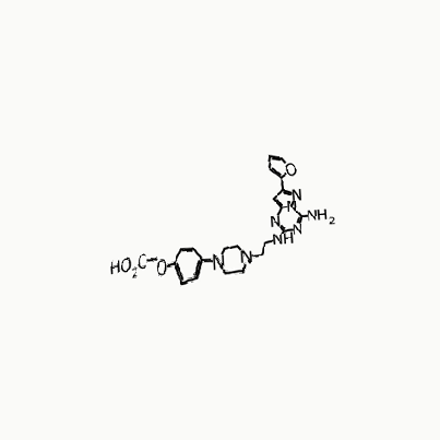 Nc1nc(NCCN2CCN(c3ccc(OCC(=O)O)cc3)CC2)nc2cc(-c3ccco3)nn12